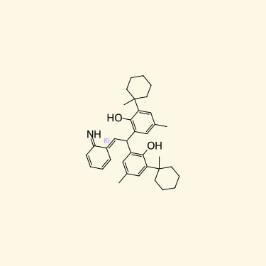 Cc1cc(C(/C=C2\C=CC=CC2=N)c2cc(C)cc(C3(C)CCCCC3)c2O)c(O)c(C2(C)CCCCC2)c1